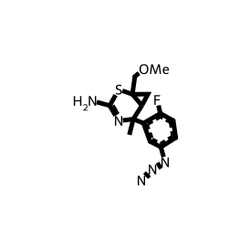 COCC12CC1C(C)(c1cc(N=[N+]=[N-])ccc1F)N=C(N)S2